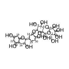 OC[C@H]1O[C@@H](O[C@H]2[C@H](O)[C@@H](O)[C@H](Oc3cc([C@H]4Oc5cc(O)cc(O)c5C[C@@H]4O)ccc3O)O[C@@H]2CO)[C@H](O)[C@@H](O)[C@@H]1O